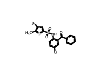 Cc1sc(S(=O)(=O)Nc2ccc(Cl)cc2C(=O)c2ccccc2)cc1Br